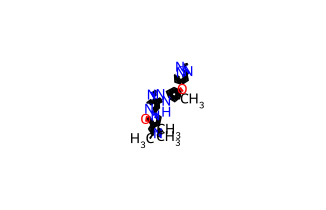 Cc1cc(Nc2ncnc3cnc(N4CC/C(=C\[C@H](C)N(C)C)C4=O)cc23)ccc1Oc1ccn2ncnc2c1